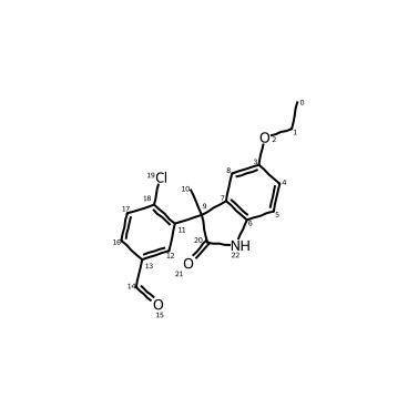 CCOc1ccc2c(c1)C(C)(c1cc(C=O)ccc1Cl)C(=O)N2